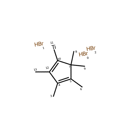 Br.Br.Br.CC1=C(C)C(C)(C)[C]([Ti])=C1C